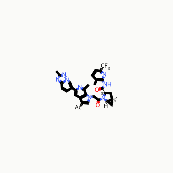 CC(=O)c1cn(CC(=O)N2[C@H](C(=O)Nc3nc(C(F)(F)F)ccc3C)C[C@@]3(C)C[C@@H]23)c2c(C)nc(-c3ccc4nc(C)nn4c3)cc12